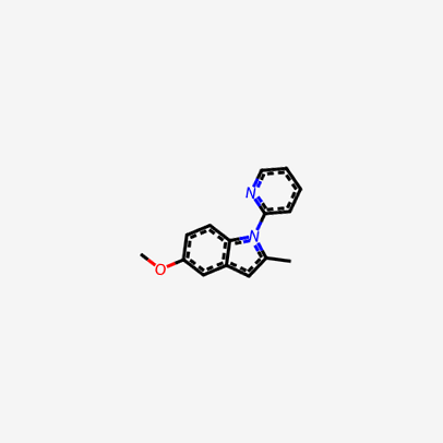 COc1ccc2c(c1)cc(C)n2-c1ccccn1